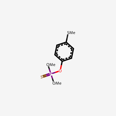 COP(=S)(OC)Oc1ccc(SC)cc1